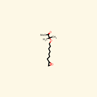 COC(=O)C(C)(C)OCCCCCCCC1CO1